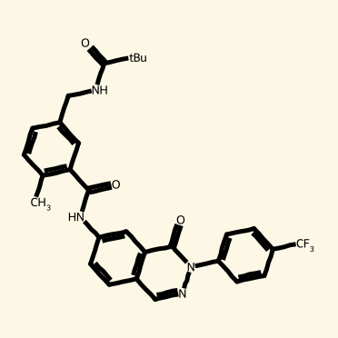 Cc1ccc(CNC(=O)C(C)(C)C)cc1C(=O)Nc1ccc2cnn(-c3ccc(C(F)(F)F)cc3)c(=O)c2c1